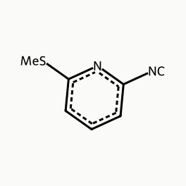 [C-]#[N+]c1cccc(SC)n1